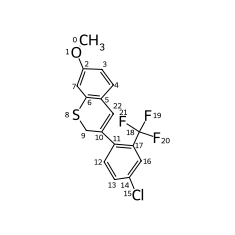 COc1ccc2c(c1)SCC(c1ccc(Cl)cc1C(F)(F)F)=C2